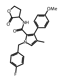 COc1ccc(-c2c(C)cn(Cc3ccc(F)cc3)c2C(=O)NC2CCOC2=O)cc1